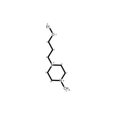 CCOCCCN1CCN(C)CC1